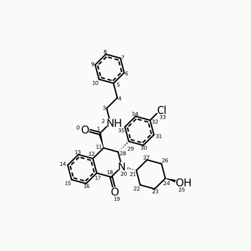 O=C(NCCc1ccccc1)[C@@H]1c2ccccc2C(=O)N([C@H]2CC[C@H](O)CC2)[C@H]1c1ccc(Cl)cc1